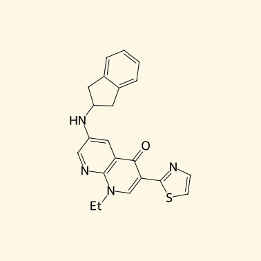 CCn1cc(-c2nccs2)c(=O)c2cc(NC3Cc4ccccc4C3)cnc21